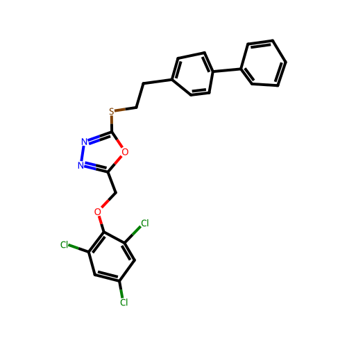 Clc1cc(Cl)c(OCc2nnc(SCCc3ccc(-c4ccccc4)cc3)o2)c(Cl)c1